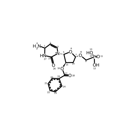 NC1C=CN([C@@H]2O[C@H](OCP(=O)(O)O)C[C@H]2OC(=O)c2ccccc2)C(=O)N1